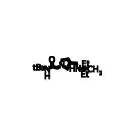 CCC(C)(CC)NCC1CCN(CC(=O)NC(C)(C)C)C1